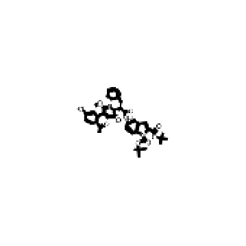 COC1=NC([C@@H](Cc2ccccc2)C(=O)Nc2ccc3c(c2)cc(C(=O)OC(C)(C)C)n3C(=O)OC(C)(C)C)C(=O)C=C1c1cc(Cl)ccc1C(C)=O